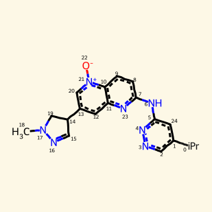 CC(C)c1cnnc(Nc2ccc3c(cc(C4C=NN(C)C4)c[n+]3[O-])n2)c1